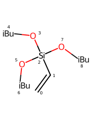 C=C[Si](OC(C)CC)(OC(C)CC)OC(C)CC